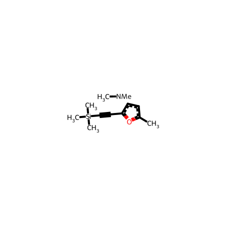 CNC.Cc1ccc(C#C[Si](C)(C)C)o1